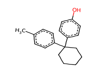 Cc1ccc(C2(c3ccc(O)cc3)CCCCC2)cc1